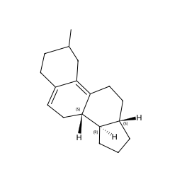 CC1CCC2=CC[C@@H]3C(=C2C1)CC[C@@H]1CCC[C@H]13